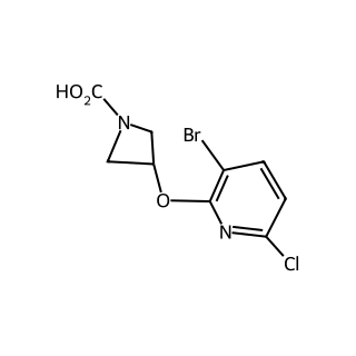 O=C(O)N1CC(Oc2nc(Cl)ccc2Br)C1